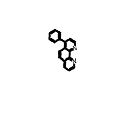 [c]1ccccc1-c1ccnc2c1ccc1cccnc12